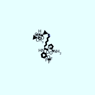 CC1(S(=O)(=O)NC(=O)[C@H]2C[C@H]2/C=C\CCCCC[C@H](Nc2cccc(OC(F)(F)F)c2)C(=O)N2CCC[C@H]2C(N)=O)CC1